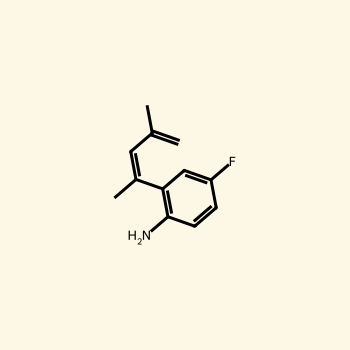 C=C(C)/C=C(/C)c1cc(F)ccc1N